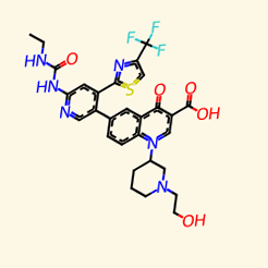 CCNC(=O)Nc1cc(-c2nc(C(F)(F)F)cs2)c(-c2ccc3c(c2)c(=O)c(C(=O)O)cn3C2CCCN(CCO)C2)cn1